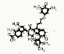 Cc1cc(OCCCc2c3n(c4c(-c5c(C)nn(C)c5C)c(Cl)ccc24)C(C)CN(c2cn(C)c4c(C)c(C(=O)O)ccc24)C3=O)cc(C)c1Cl